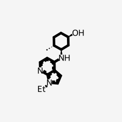 CCn1ccc2c(N[C@@H]3C[C@H](O)CC[C@H]3C)ccnc21